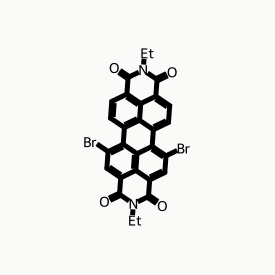 CCN1C(=O)c2ccc3c4c(Br)cc5c6c(cc(Br)c(c7ccc(c2c37)C1=O)c64)C(=O)N(CC)C5=O